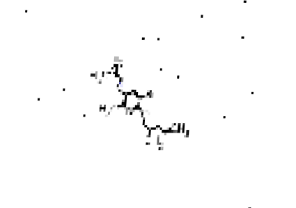 C=CCC(C)COc1nc(C)c(/N=C/N(C)CC)cc1Br